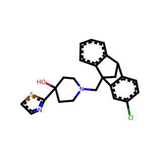 OC1(c2nccs2)CCN(CC23CC(c4ccccc42)c2ccc(Cl)cc23)CC1